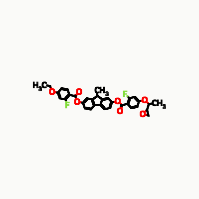 CCOc1ccc(C(=O)Oc2ccc3c(c2)C(C)c2cc(OC(=O)c4ccc(OC(C)C5CO5)cc4F)ccc2-3)c(F)c1